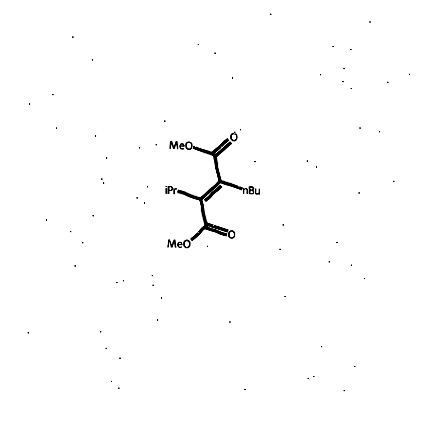 CCCCC(C(=O)OC)=C(C(=O)OC)C(C)C